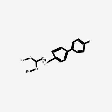 CC(C)OC(O[SiH2]c1ccc(-c2ccc(F)cc2)cc1)OC(C)C